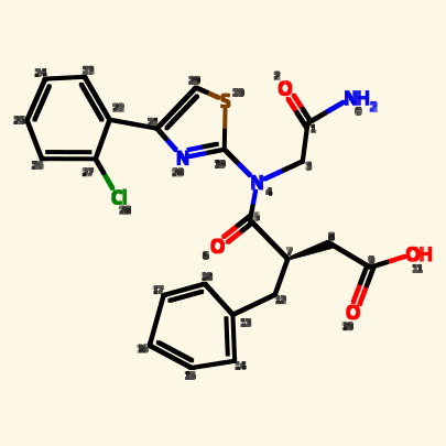 NC(=O)CN(C(=O)[C@@H](CC(=O)O)Cc1ccccc1)c1nc(-c2ccccc2Cl)cs1